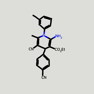 [C-]#[N+]C1=C(C)N(c2cccc(C)c2)C(N)=C(C(=O)OCC)C1c1ccc(C#N)cc1